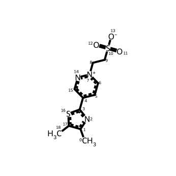 Cc1nc(-c2cc[n+](CCS(=O)(=O)[O-])nc2)sc1C